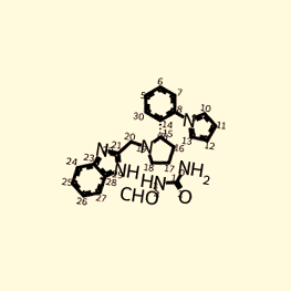 NC(=O)NC=O.c1ccc(-n2cccc2)c([C@@H]2CCCN2Cc2nc3ccccc3[nH]2)c1